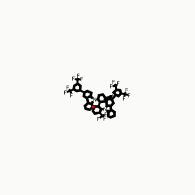 N#Cc1ccc(-n2c3ccccc3c3cc(-c4cc(C(F)(F)F)cc(C(F)(F)F)c4)ccc32)c(-c2cccc(C(F)(F)F)c2-n2c3ccccc3c3cc(-c4cc(C(F)(F)F)cc(C(F)(F)F)c4)ccc32)c1